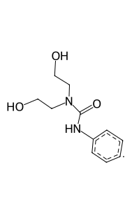 O=C(Nc1cc[c]cc1)N(CCO)CCO